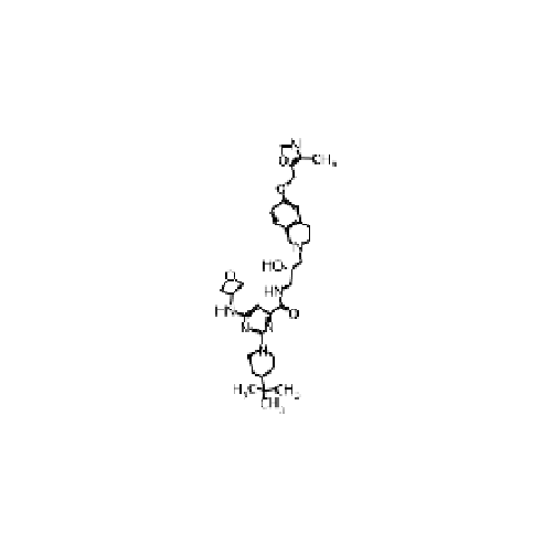 Cc1ncoc1COc1ccc2c(c1)CCN(C[C@@H](O)CNC(=O)c1cc(NC3COC3)nc(N3CCC(C(C)(C)C)CC3)n1)C2